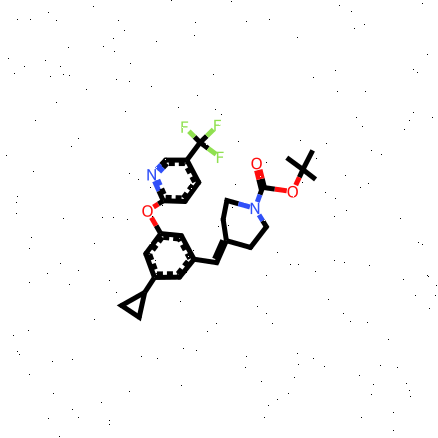 CC(C)(C)OC(=O)N1CCC(=Cc2cc(Oc3ccc(C(F)(F)F)cn3)cc(C3CC3)c2)CC1